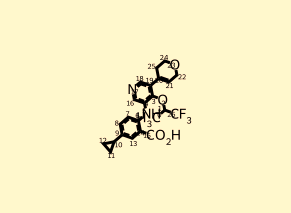 CC(Oc1c(Nc2ccc(C3CC3)cc2C(=O)O)cncc1C1=CCOCC1)C(F)(F)F